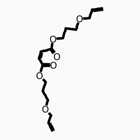 C=CCOCCCOC(=O)/C=C\C(=O)OCCCOCC=C